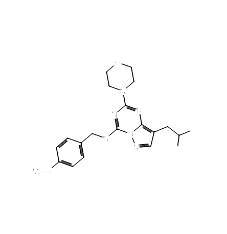 COc1ccc(CNc2nc(N3CCOCC3)nc3c(CC(F)F)cnn23)cc1